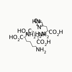 NC(CCC(=O)O)C(=O)O.NC(Cc1c[nH]cn1)C(=O)O.NCCCCC(N)C(=O)O.[Cu]